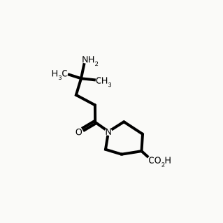 CC(C)(N)CCC(=O)N1CCC(C(=O)O)CC1